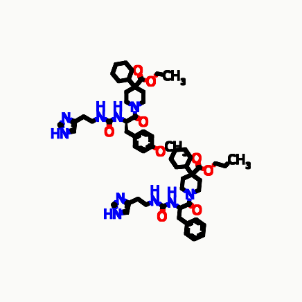 CCCOC(=O)C1(C2CCCCC2)CCN(C(=O)C(Cc2ccccc2)NC(=O)NCCc2c[nH]cn2)CC1.CCOC(=O)C1(C2CCCCC2)CCN(C(=O)[C@@H](Cc2ccc(OC)cc2)NC(=O)NCCc2c[nH]cn2)CC1